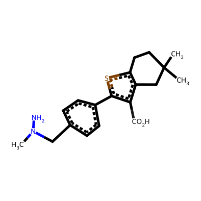 CN(N)Cc1ccc(-c2sc3c(c2C(=O)O)CC(C)(C)CC3)cc1